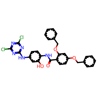 O=C(Nc1ccc(Nc2nc(Cl)nc(Cl)n2)cc1O)c1ccc(OCc2ccccc2)cc1OCc1ccccc1